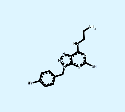 CC(C)c1ccc(Cn2nnc3c(NCCN)nc(S)nc32)cc1